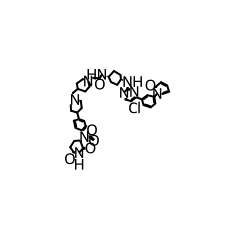 O=C1CCC(n2c(=O)oc3cc(C4CCN(CC5CCN(CC(=O)N[C@H]6CC[C@H](Nc7ncc(Cl)c(-c8cccc(-n9ccccc9=O)c8)n7)CC6)CC5)CC4)ccc32)C(=O)N1